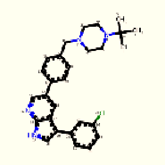 CCC(C)(C)N1CCN(Cc2ccc(-c3cnc4[nH]cc(-c5cccc(Cl)c5)c4c3)cc2)CC1